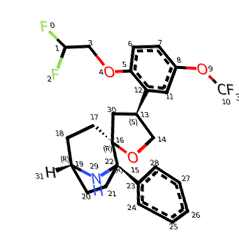 FC(F)COc1ccc(OC(F)(F)F)cc1[C@H]1CO[C@]2(CC[C@H]3CC[C@]2(c2ccccc2)N3)C1